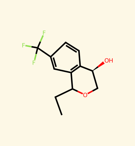 CCC1OC[C@H](O)c2ccc(C(F)(F)F)cc21